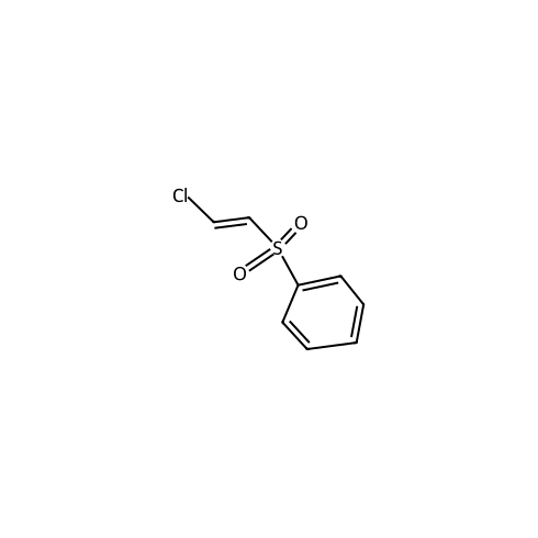 O=S(=O)(/C=C/Cl)c1ccccc1